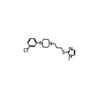 Cn1ccnc1SCCCN1CCN(c2cccc(Cl)c2)CC1